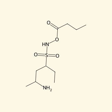 CCCC(=O)ONS(=O)(=O)C(CC)CC(C)N